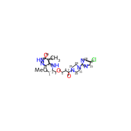 COC[C@@H](COCCC(=O)N1CCN(c2ncc(Cl)cn2)CC1)Nc1cn[nH]c(=O)c1C